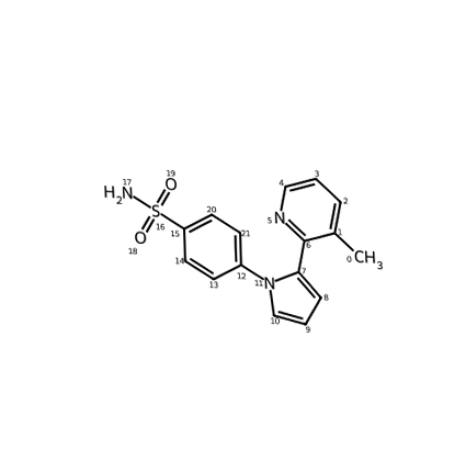 Cc1cccnc1-c1cccn1-c1ccc(S(N)(=O)=O)cc1